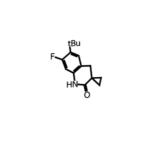 CC(C)(C)c1cc2c(cc1F)NC(=O)C1(CC1)C2